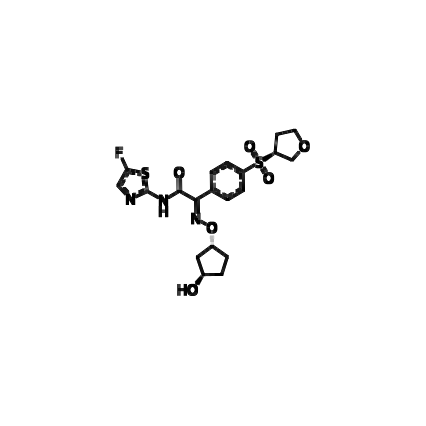 O=C(Nc1ncc(F)s1)/C(=N/O[C@@H]1CC[C@@H](O)C1)c1ccc(S(=O)(=O)[C@H]2CCOC2)cc1